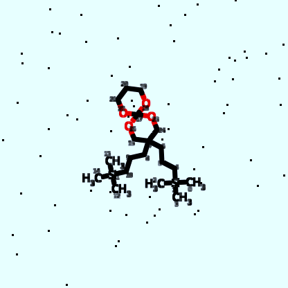 C[Si](C)(C)CCCC1(CCC[Si](C)(C)C)COC2(OCCCO2)OC1